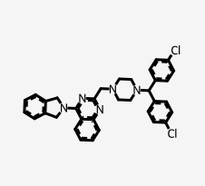 Clc1ccc(C(c2ccc(Cl)cc2)N2CCN(Cc3nc(N4Cc5ccccc5C4)c4ccccc4n3)CC2)cc1